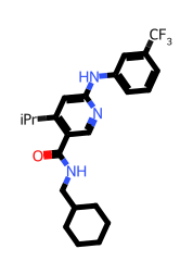 CC(C)c1cc(Nc2cccc(C(F)(F)F)c2)ncc1C(=O)NCC1CCCCC1